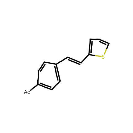 CC(=O)c1ccc(C=Cc2cccs2)cc1